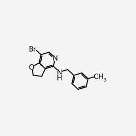 Cc1cccc(CNc2ncc(Br)c3c2CCO3)c1